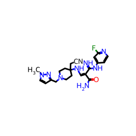 Cn1ccc(CN2CCC(CC#N)(N/C=C(\C(=N)Nc3ccnc(F)c3)C(N)=O)CC2)n1